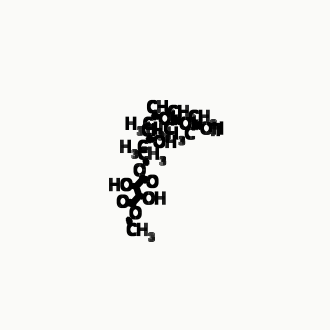 CC(C)O.CC(C)O.CC(C)O.CC(C)O.CCOC(=O)C(O)C(O)C(=O)OCC.[Ti]